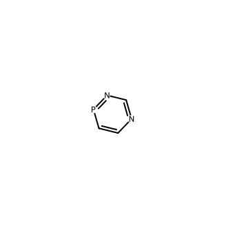 c1cpncn1